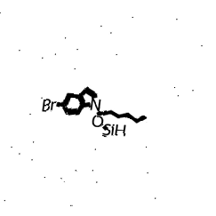 CCCCCC(O[SiH](C)C)n1ccc2cc(Br)ccc21